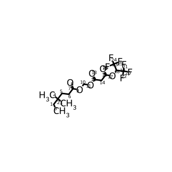 CCC(C)(C)CCC(=O)OCOC(=O)CC(=O)OC(C(F)(F)F)C(F)(F)F